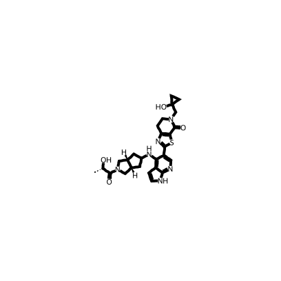 C[C@H](O)C(=O)N1C[C@H]2CC(Nc3c(-c4nc5c(s4)C(=O)N(CC4(O)CC4)CC5)cnc4[nH]ccc34)C[C@H]2C1